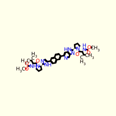 COC(=O)N[C@H](C(=O)N1CCC[C@H]1c1ncc(-c2ccc3cc(-c4cc5[nH]c([C@@H]6CCCN6C(=O)[C@@H](NC(=O)OC)C(C)C)nc5cn4)ccc3c2)[nH]1)C(C)C